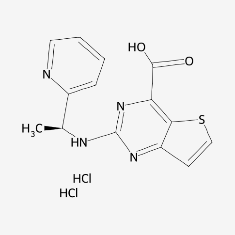 C[C@H](Nc1nc(C(=O)O)c2sccc2n1)c1ccccn1.Cl.Cl